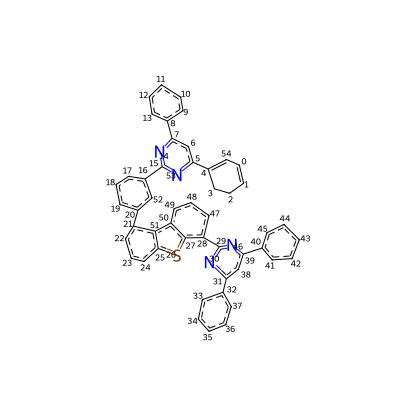 C1=CCCC(c2cc(-c3ccccc3)nc(-c3cccc(-c4cccc5sc6c(-c7nc(-c8ccccc8)cc(-c8ccccc8)n7)cccc6c45)c3)n2)=C1